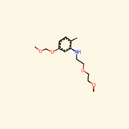 COCCOCCNc1cc(OCOC)ccc1C